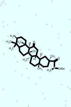 CON(C)C(=O)[C@@]1(C)CC[C@]2(C)CC[C@]3(C)[C@H](CC(=O)[C@@H]4[C@@]5(C)CC[C@H](N)C(C)(C)C5CC[C@]43C)[C@H]2C1